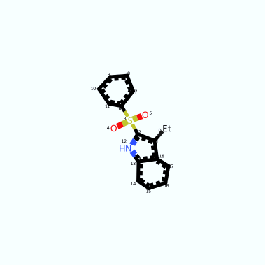 [CH2]Cc1c(S(=O)(=O)c2ccccc2)[nH]c2ccccc12